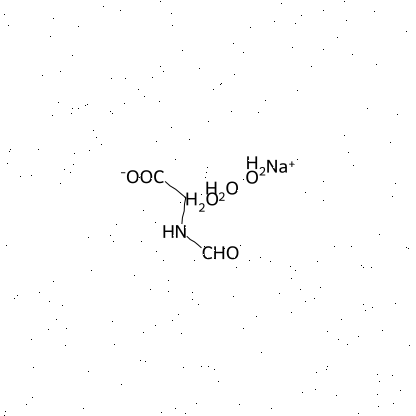 O.O.O.O=CNCC(=O)[O-].[Na+]